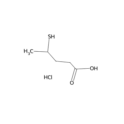 CC(S)CCC(=O)O.Cl